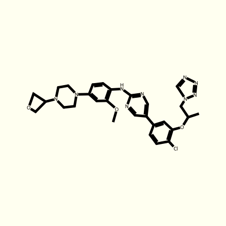 COc1cc(N2CCN(C3COC3)CC2)ccc1Nc1ncc(-c2ccc(Cl)c(OC(C)Cn3cnnn3)c2)cn1